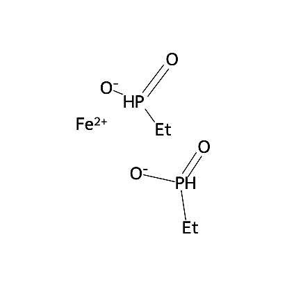 CC[PH](=O)[O-].CC[PH](=O)[O-].[Fe+2]